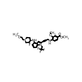 COCCN1CC[C@@H](Nc2cccc3c2cc(C#CCNc2ccc(C(=O)OC)cc2OC)n3CC(F)(F)F)[C@@H](F)C1